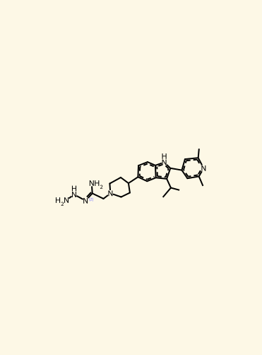 Cc1cc(-c2[nH]c3ccc(C4CCN(C/C(N)=N/NN)CC4)cc3c2C(C)C)cc(C)n1